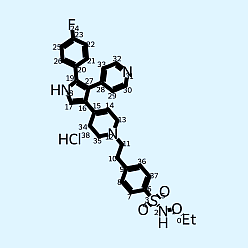 CCONS(=O)(=O)c1ccc(CCN2CC=C(c3c[nH]c(-c4ccc(F)cc4)c3-c3ccncc3)CC2)cc1.Cl